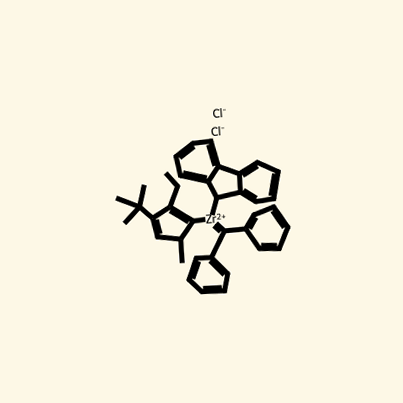 CCC1=[C]([Zr+2](=[C](c2ccccc2)c2ccccc2)[CH]2c3ccccc3-c3ccccc32)C(C)C=C1C(C)(C)C.[Cl-].[Cl-]